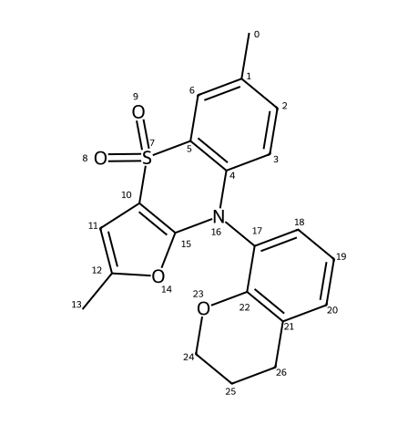 Cc1ccc2c(c1)S(=O)(=O)c1cc(C)oc1N2c1cccc2c1OCCC2